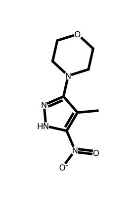 Cc1c(N2CCOCC2)n[nH]c1[N+](=O)[O-]